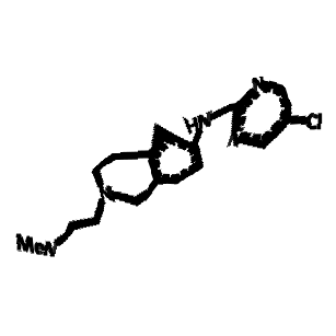 CNCCN1CCc2cc(Nc3ncc(Cl)cn3)ccc2C1